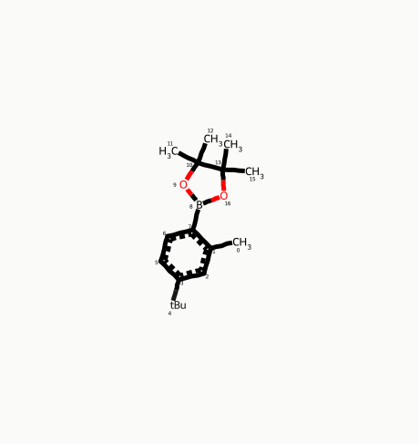 Cc1cc(C(C)(C)C)ccc1B1OC(C)(C)C(C)(C)O1